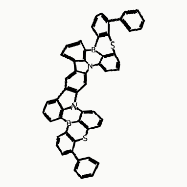 c1ccc(-c2cccc3c2Sc2cccc4c2B3c2cccc3c5cc6c7cccc8c7n(c6cc5n-4c23)-c2cccc3c2B8c2cccc(-c4ccccc4)c2S3)cc1